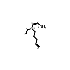 C=CCCCN(/C=C\N)CC